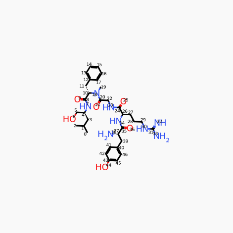 CC(C)C[C@@H](CO)NC(=O)[C@H](Cc1ccccc1)N(C)C(=O)CNC(=O)[C@@H](CCCNC(=N)N)NC(=O)[C@@H](N)Cc1ccc(O)cc1